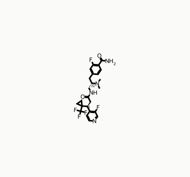 CN(C)[C@H](CNC(=O)C[C@@H](c1ccncc1F)C1(C(F)(F)F)CC1)Cc1ccc(C(N)=O)c(F)c1